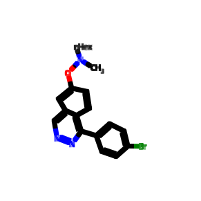 CCCCCCN(C)Oc1ccc2c(-c3ccc(Br)cc3)nncc2c1